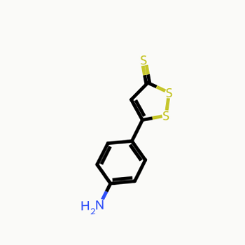 Nc1ccc(-c2cc(=S)ss2)cc1